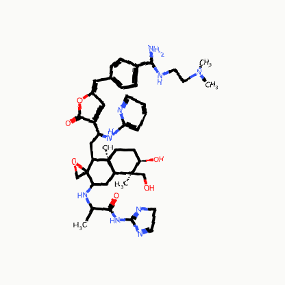 CC(NC1CC2[C@](C)(CC[C@@H](O)[C@@]2(C)CO)C(CC(Nc2ccccn2)C2=C/C(=C\c3ccc(C(N)NCCN(C)C)cc3)OC2=O)C12CO2)C(=O)NC1=NCC=N1